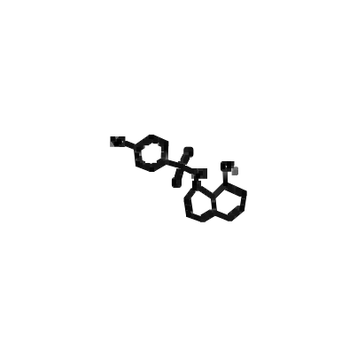 N#Cc1ccc(S(=O)(=O)NN2C=CC=C3C=CC=C(C(F)(F)F)C32)cc1